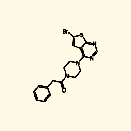 O=C(Cc1ccccc1)N1CCN(c2ncnc3sc(Br)cc23)CC1